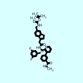 CNC(=O)c1cccc(-c2cccnc2[C@H](Cc2cc(F)cc(F)c2)NC(=O)CC2=CCc3cc(CNC(=O)OC(C)(C)C)ccc32)c1